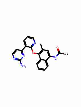 CCCC(=O)Nc1cc(C)c(Oc2ncccc2-c2ccnc(N)n2)c2ccccc12